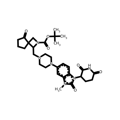 Cn1c(=O)n(C2CCC(=O)NC2=O)c2ccc(N3CCN(CC4N(C(=O)OC(C)(C)C)CC45CCCC5=O)CC3)cc21